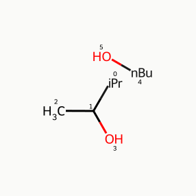 CC(C)C(C)O.CCCCO